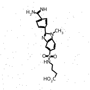 Cn1c(-c2ccc(C(=N)N)cc2)nc2cc(S(=O)(=O)NCCCC(=O)O)ccc21